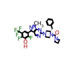 Cn1nc(-c2cc(C(F)(F)F)c(F)c(O)c2F)c2cnc(N3CCN(C(=O)N4CCC4)[C@@H](Cc4ccccc4)C3)nc21